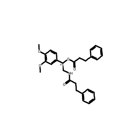 COc1ccc([C@H](CNC(=O)CCc2ccccc2)OC(=O)CCc2ccccc2)cc1OC